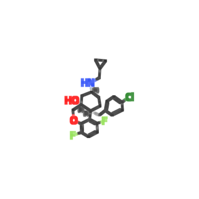 O[C@@]12COc3c(F)ccc(F)c3[C@]1(Cc1ccc(Cl)cc1)CC[C@@H](NCC1CC1)C2